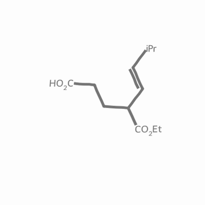 CCOC(=O)C(C=CC(C)C)CCC(=O)O